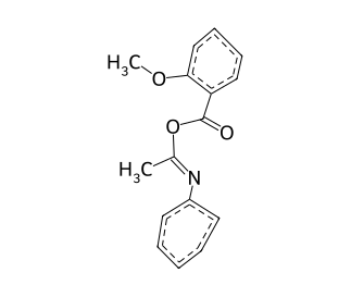 COc1ccccc1C(=O)OC(C)=Nc1ccccc1